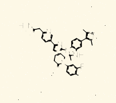 Cc1noc(C)c1-c1ccc2c(c1)NC(C)([C@@H]1CCCC(=O)N1c1ccc(F)c(F)c1)N2c1nc(-c2ccc(CC(N)=O)nc2)cs1